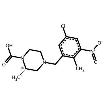 Cc1c(CN2CCN(C(=O)O)[C@@H](C)C2)cc(Cl)cc1[N+](=O)[O-]